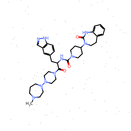 CN1CCCN(N2CCN(C(=O)C(Cc3ccc4[nH]ncc4c3)NC(=O)N3CCC(N4CCc5ccccc5NC4=O)CC3)CC2)CC1